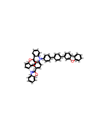 c1cc2ccc(-c3ccccc3N(c3ccc(-c4ccc(-c5ccc6c(c5)oc5ccccc56)cc4)cc3)c3ccc(-c4nc5ccccc5o4)cc3)oc-2c1